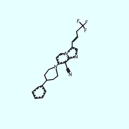 N#Cc1c(N2CCC(c3ccccc3)CC2)ccn2c(C=CCC(F)(F)F)cnc12